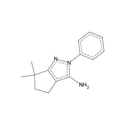 CC1(C)CCc2c1nn(-c1ccccc1)c2N